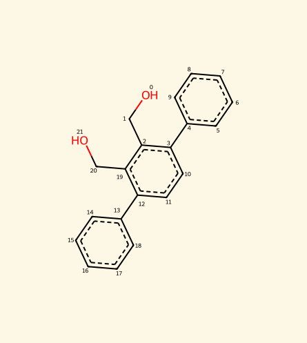 OCc1c(-c2ccccc2)ccc(-c2ccccc2)c1CO